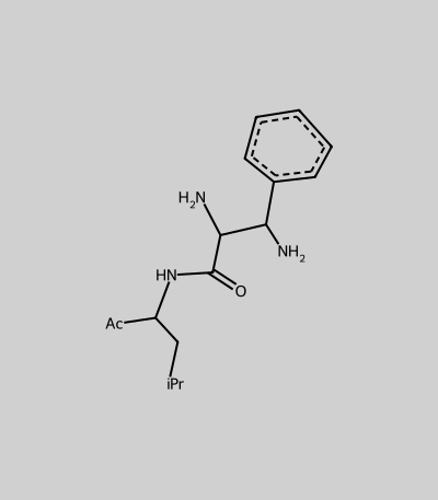 CC(=O)C(CC(C)C)NC(=O)C(N)C(N)c1ccccc1